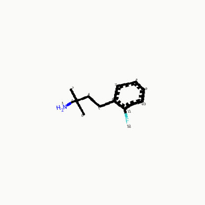 CC(C)(N)CCc1ccccc1F